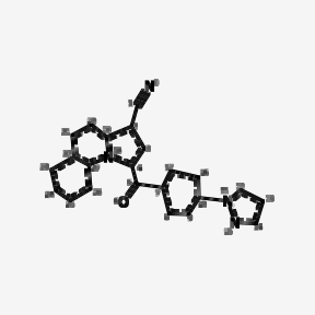 N#Cc1cc(C(=O)c2ccc(-n3cccn3)cc2)n2c1ccc1ccccc12